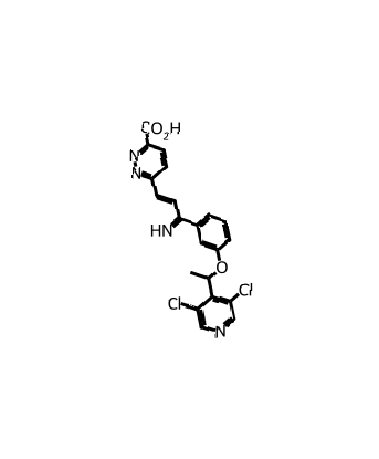 CC(Oc1cccc(C(=N)/C=C/c2ccc(C(=O)O)nn2)c1)c1c(Cl)cncc1Cl